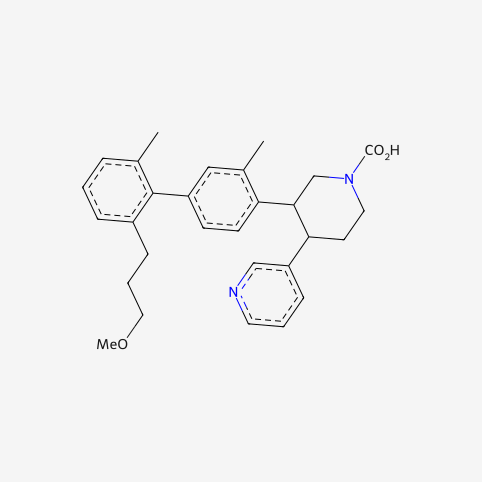 COCCCc1cccc(C)c1-c1ccc(C2CN(C(=O)O)CCC2c2cccnc2)c(C)c1